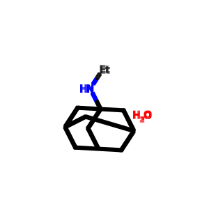 CCNC12CC3CC(CC(C3)C1)C2.O